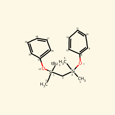 CC(C)(C)[Si](C)(C[Si](C)(C)Oc1ccccc1)Oc1ccccc1